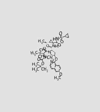 C=C[C@@H]1C[C@]1(NC(=O)[C@@H]1C[C@@H](Oc2nccc3cc(OC)ccc23)CN1C(=O)[C@@H](N(C)C(=O)OC(C)(C)C)C(C)(C)C)C(=O)NS(=O)(=O)C1CC1